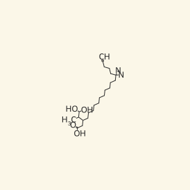 C#CCCCC1(CCCCCCCCCCCC(CC(=O)O)C(C)C(O)O)N=N1